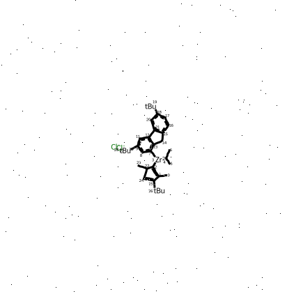 CC1=[C]([Zr+2](=[C](C)C)[c]2cc(C(C)(C)C)cc3c2Cc2ccc(C(C)(C)C)cc2-3)C(C)C=C1C(C)(C)C.[Cl-].[Cl-]